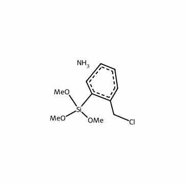 CO[Si](OC)(OC)c1ccccc1CCl.N